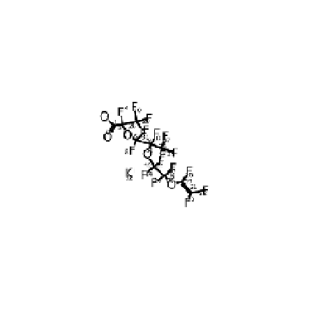 O=C([O-])C(F)(OC(F)(F)C(F)(OC(F)(F)C(F)(F)OC(F)=C(F)F)C(F)(F)F)C(F)(F)F.[K+]